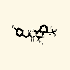 Cc1nc2c(OC(F)(F)F)cccc2c(=O)n1NC(=O)Cc1ccc(F)cc1